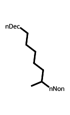 [CH2]CCCCCCCCCCCCCCC(C)CCCCCCCC[CH2]